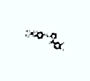 CC(C)(C)Oc1ccc(OC[C@@H]2CCCN2C(=O)c2ccc(Cl)c(Cl)c2)cc1